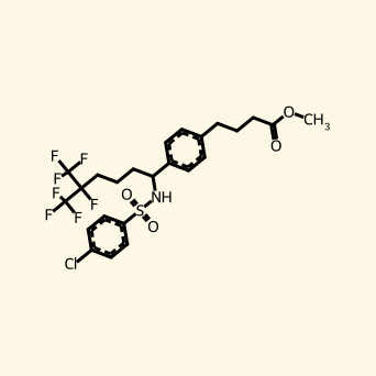 COC(=O)CCCc1ccc(C(CCCC(F)(C(F)(F)F)C(F)(F)F)NS(=O)(=O)c2ccc(Cl)cc2)cc1